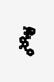 O=C(Nc1cccc2c(=O)n(Cc3ccccc3)ccc12)C12CC3CC(CC(F)(C3)C1)C2